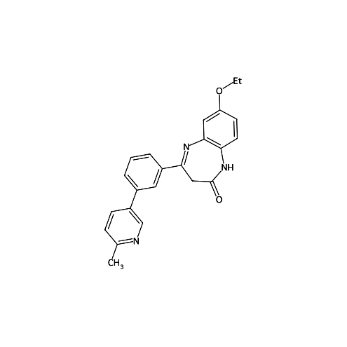 CCOc1ccc2c(c1)N=C(c1cccc(-c3ccc(C)nc3)c1)CC(=O)N2